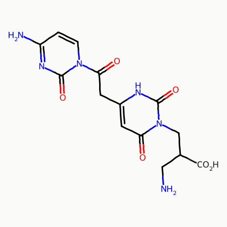 NCC(Cn1c(=O)cc(CC(=O)n2ccc(N)nc2=O)[nH]c1=O)C(=O)O